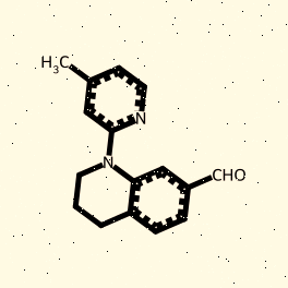 Cc1ccnc(N2CCCc3ccc(C=O)cc32)c1